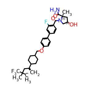 C=C(CC(C)(C)C(F)(F)F)C1CCC(COc2ccc(-c3ccc(C(=O)N4C[C@H](O)C[C@@]4(C)C(N)=O)c(F)c3)cc2)CC1